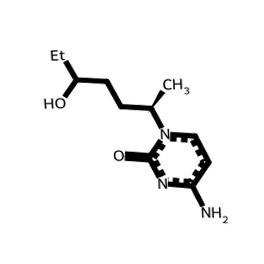 CCC(O)CC[C@@H](C)n1ccc(N)nc1=O